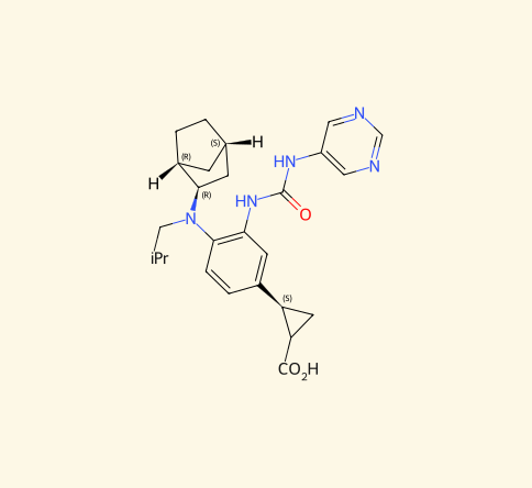 CC(C)CN(c1ccc([C@H]2CC2C(=O)O)cc1NC(=O)Nc1cncnc1)[C@@H]1C[C@H]2CC[C@@H]1C2